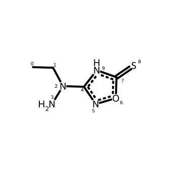 CCN(N)c1noc(=S)[nH]1